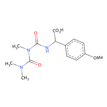 COc1ccc(C(NC(=O)N(C)C(=O)N(C)C)C(=O)O)cc1